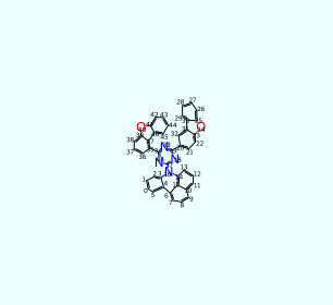 c1ccc2c(c1)-c1cccc3cccc(c13)N2c1nc(-c2ccc3oc4ccccc4c3c2)nc(-c2cccc3oc4ccccc4c23)n1